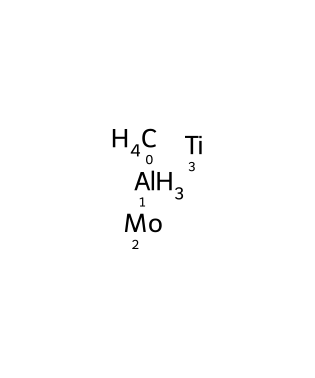 C.[AlH3].[Mo].[Ti]